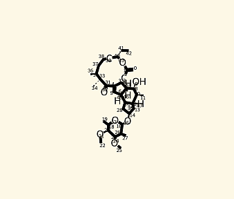 C=C1C[C@@H]2C(=C[C@@H]3[C@H]2[C@H](O)[C@@H](C)[C@@H]2C[C@@H](O[C@@H]4OC(C)[C@H](OC)C(OC)C4C)C[C@@]32C)C(=O)[C@H](C)[C@@H](C)CCC[C@H](CC)O1